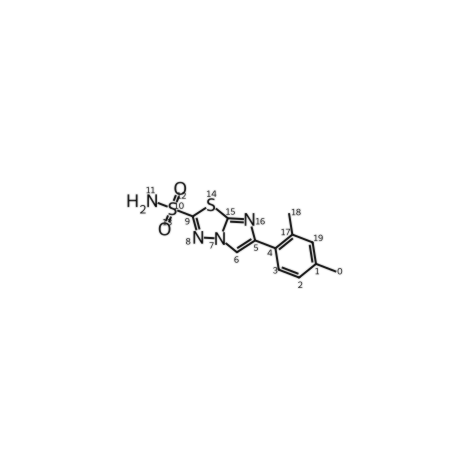 Cc1ccc(-c2cn3nc(S(N)(=O)=O)sc3n2)c(C)c1